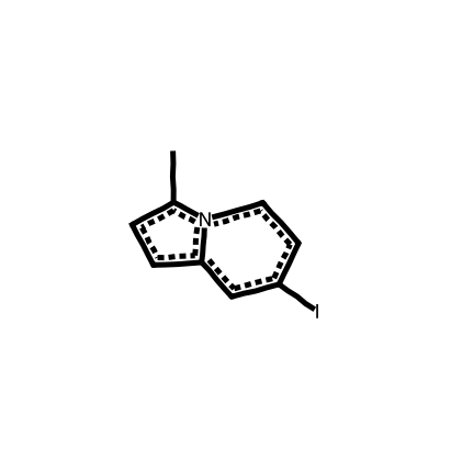 Cc1ccc2cc(I)ccn12